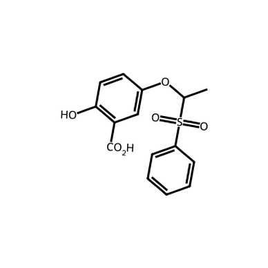 CC(Oc1ccc(O)c(C(=O)O)c1)S(=O)(=O)c1ccccc1